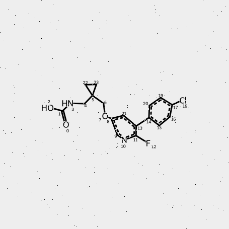 O=C(O)NCC1(COc2cnc(F)c(-c3ccc(Cl)cc3)c2)CC1